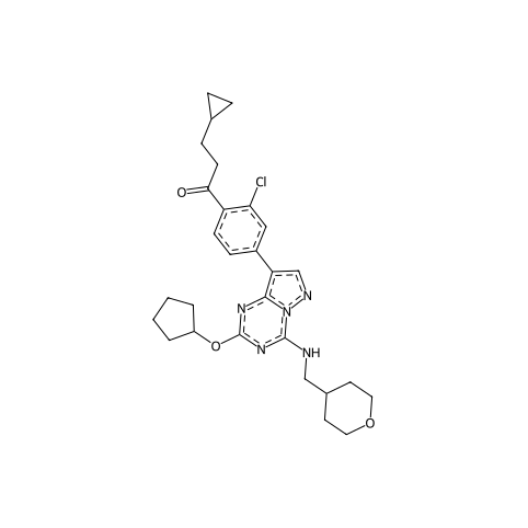 O=C(CCC1CC1)c1ccc(-c2cnn3c(NCC4CCOCC4)nc(OC4CCCC4)nc23)cc1Cl